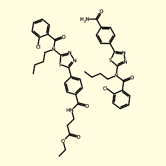 CCCCN(C(=O)c1ccccc1Cl)c1nnc(-c2ccc(C(=O)NCCC(=O)OCC)cc2)s1.CCCCN(C(=O)c1ccccc1Cl)c1nnc(-c2ccc(C(N)=O)cc2)s1